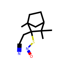 CC12CCC(C1)C(C)(C)C2(CC#N)SN=O